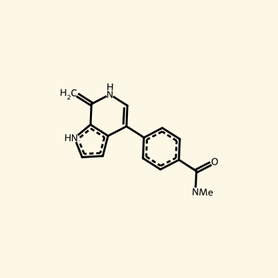 C=C1NC=C(c2ccc(C(=O)NC)cc2)c2cc[nH]c21